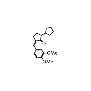 COc1ccc(C=C2CCC(C3CCCC3)C2=O)cc1OC